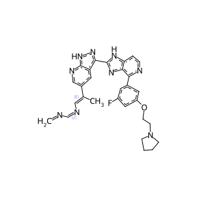 C=N/C=N\C=C(/C)c1cnc2[nH]nc(-c3nc4c(-c5cc(F)cc(OCCN6CCCC6)c5)nccc4[nH]3)c2c1